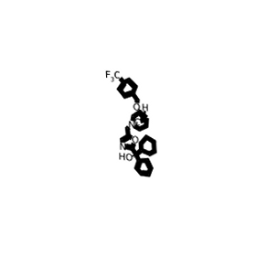 O[C@](c1ccccc1)(c1ncc(C[N+]23CCC(CC2)[C@@H](OCc2ccc(C(F)(F)F)cc2)C3)o1)C1CCCCC1